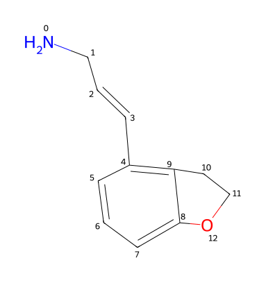 NCC=Cc1cccc2c1CCO2